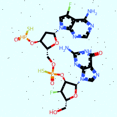 Nc1nc2c(ncn2[C@@H]2O[C@H](CO)[C@@H](F)[C@H]2OP(=O)(S)OC[C@H]2O[C@@H](n3cc(F)c4c(N)ncnc43)C[C@@H]2O[PH](=O)S)c(=O)[nH]1